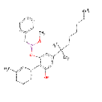 CCCCCCC(C)(C)c1cc(O)c(C2C=C(C)CCC2)c(OP(Cc2ccccc2)OC)c1